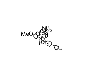 COc1ccc(Nc2c(C(=O)N3CCC(c4ccc(F)cc4)CC3)cnc(S(N)(=O)=O)c2Cl)cc1